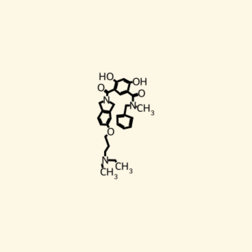 CCN(CC)CCCOc1ccc2c(c1)CN(C(=O)c1cc(C(=O)N(C)Cc3ccccc3)c(O)cc1O)C2